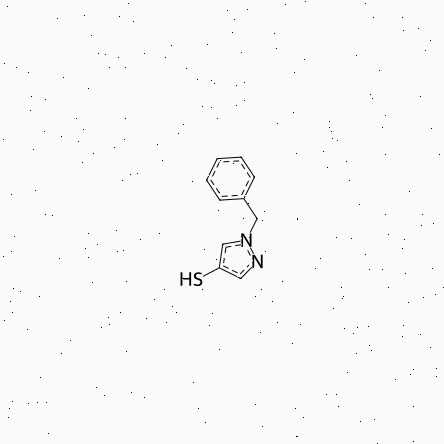 Sc1cnn(Cc2ccccc2)c1